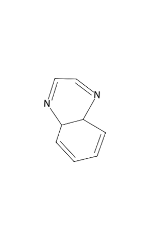 C1=CC2N=CC=NC2C=C1